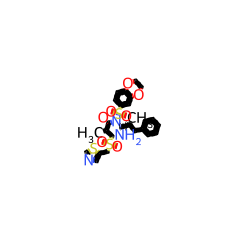 CC(CS(=O)(=O)Cc1cncs1)C(=O)N([C@H](N)[C@@H](C)Cc1ccccc1)S(=O)(=O)c1ccc2c(c1)OCCO2